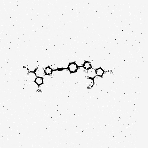 C[C@H]1C[C@@H](c2ncc(C#Cc3ccc(-c4cnc([C@@H]5C[C@H](C)CN5C(=O)OC(C)(C)C)[nH]4)cc3)[nH]2)N(C(=O)OC(C)(C)C)C1